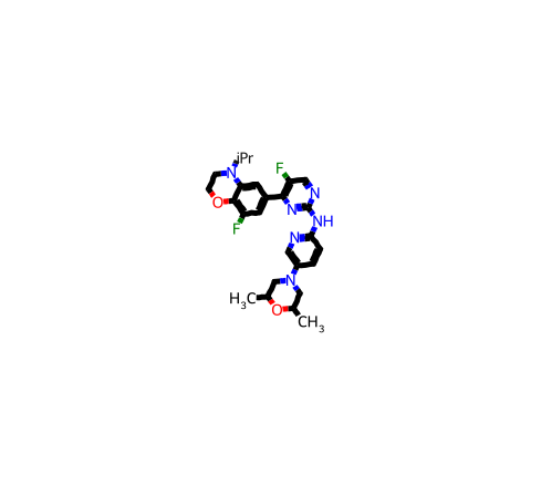 CC1CN(c2ccc(Nc3ncc(F)c(-c4cc(F)c5c(c4)N(C(C)C)CCO5)n3)nc2)CC(C)O1